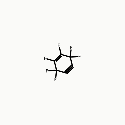 FC1=C(F)C(F)(F)C#CC1(F)F